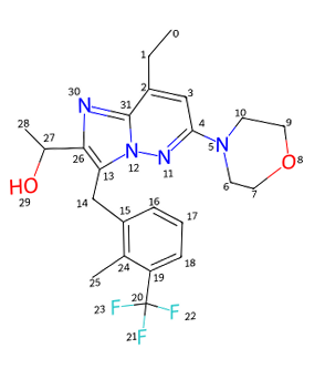 CCc1cc(N2CCOCC2)nn2c(Cc3cccc(C(F)(F)F)c3C)c(C(C)O)nc12